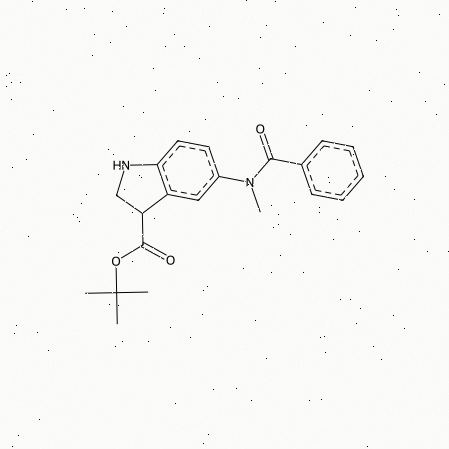 CN(C(=O)c1ccccc1)c1ccc2c(c1)C(C(=O)OC(C)(C)C)CN2